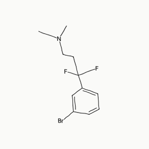 CN(C)CCC(F)(F)c1cccc(Br)c1